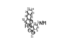 CCNCc1ccc(C(=O)OC)c(NC(=O)/C=C(/C)c2ccc3ccccc3c2)c1